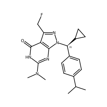 CC(C)c1ccc([C@H](C2CC2)n2nc(CF)c3c(=O)[nH]c(N(C)C)nc32)cc1